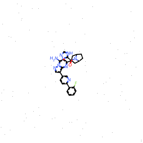 Nc1cc(C2CC3CCC(C2)N3C(=O)c2nnc[nH]2)nc2c(-c3ccc(-c4ccccc4F)nc3)cnn12